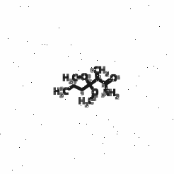 C=C(C(N)=O)C(CCC)(OC)OC